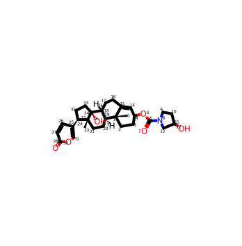 C[C@]12CCC(OC(=O)N3CCC(O)C3)C=C1CC[C@@H]1[C@@H]2CC[C@]2(C)[C@@H](c3ccc(=O)oc3)CC[C@]12O